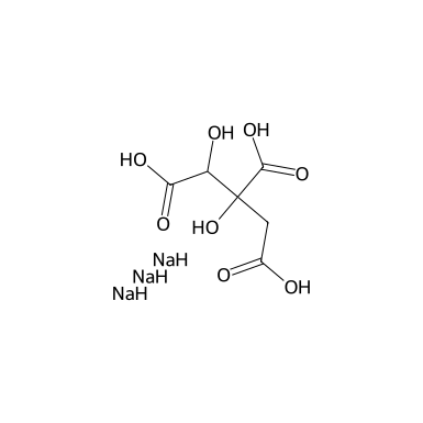 O=C(O)CC(O)(C(=O)O)C(O)C(=O)O.[NaH].[NaH].[NaH]